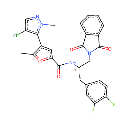 Cc1oc(C(=O)N[C@@H](Cc2ccc(F)c(F)c2)CN2C(=O)c3ccccc3C2=O)cc1-c1c(Cl)cnn1C